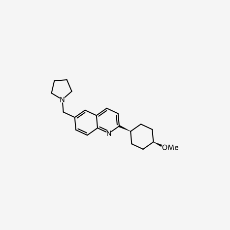 CO[C@H]1CC[C@@H](c2ccc3cc(CN4CCCC4)ccc3n2)CC1